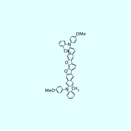 COc1ccc(N(c2ccc3cc4c(cc3c2)oc2c4ccc3c4cc5ccc(N(c6ccc(OC)cc6)c6ccccc6C)cc5cc4oc32)c2ccccc2C)cc1